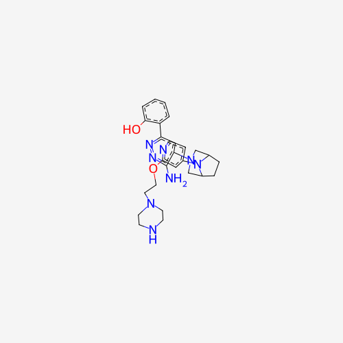 Nc1nnc(-c2ccccc2O)cc1N1CC2CCC(C1)N2c1ccnc(OCCN2CCNCC2)c1